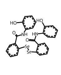 O=C(Nc1ccccc1O)c1ccccc1[Se][Se]c1ccccc1C(=O)Nc1ccccc1O